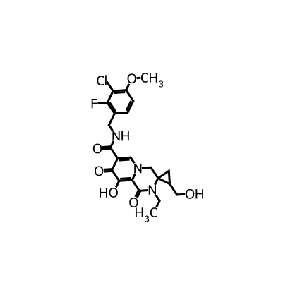 CCN1C(=O)c2c(O)c(=O)c(C(=O)NCc3ccc(OC)c(Cl)c3F)cn2CC12CC2CO